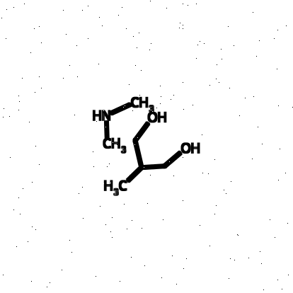 CC(CO)CO.CNC